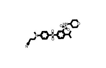 CC(C)c1ccc(S(=O)(=O)c2ccc(N(C)CCC#N)cc2)cc1S(=O)(=O)NC1CCOCC1